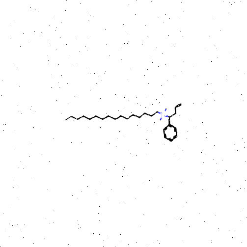 C=CCC(c1ccccc1)[N+](C)(C)CCCCCCCCCCCCCCCC